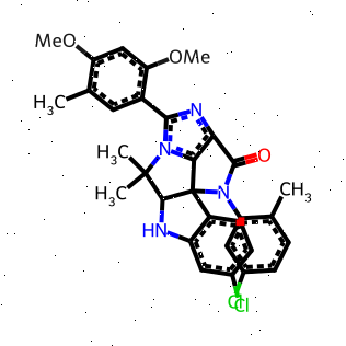 COc1cc(OC)c(-c2nc3c4n2C(C)(C)C2Nc5cc(Cl)ccc5C42N(c2cc(Cl)ccc2C)C3=O)cc1C